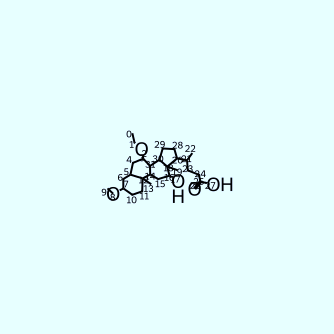 CCOC1CC2CC(OC)CCC2(C)C2CC(O)C3(C)C(C(C)CCC(=O)O)CCC3C12